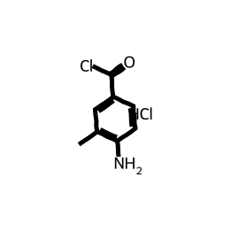 Cc1cc(C(=O)Cl)ccc1N.Cl